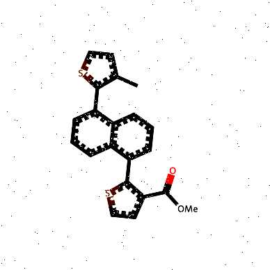 COC(=O)c1ccsc1-c1cccc2c(-c3sccc3C)cccc12